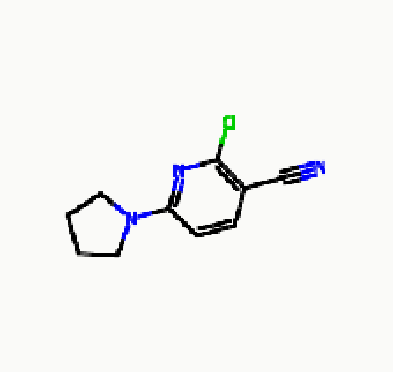 N#Cc1ccc(N2CCCC2)nc1Cl